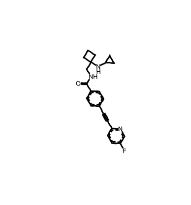 O=C(NCC1(NC2CC2)CCC1)c1ccc(C#Cc2ccc(F)cn2)cc1